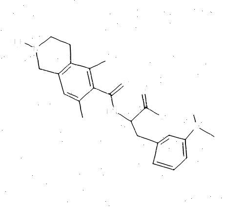 CCC(=O)C(Cc1cccc([S+](C)[O-])c1)NC(=O)c1c(C)cc2c(c1C)CCN(P)C2